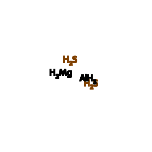 S.S.[AlH3].[MgH2]